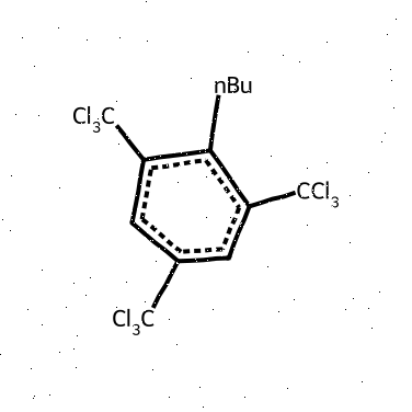 [CH2]CCCc1c(C(Cl)(Cl)Cl)cc(C(Cl)(Cl)Cl)cc1C(Cl)(Cl)Cl